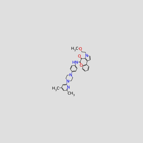 COCCn1ccc(-c2ccccc2)c1C(=O)C(=O)Nc1ccc(N2CCN(c3cc(C)cc(C)n3)CC2)cc1